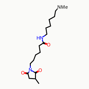 CNCCCCCCNC(=O)CCCCCN1C(=O)CC(C)C1=O